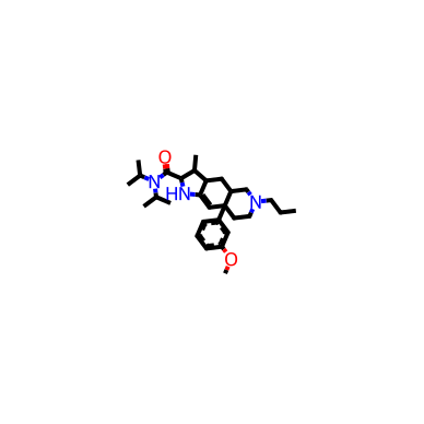 CCCN1CCC2(c3cccc(OC)c3)C=C3NC(C(=O)N(C(C)C)C(C)C)C(C)C3CC2C1